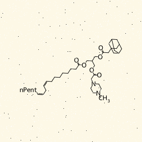 CCCCC/C=C\C/C=C\CCCCCCCC(=O)OCC(COC(=O)CN1CCN(C)CC1)COC(=O)CC12CC3CC(CC(C3)C1)C2